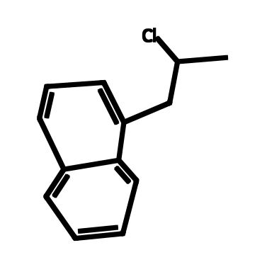 CC(Cl)Cc1cccc2ccccc12